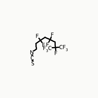 FC(F)(CCN=C=S)CC(F)(F)CC(F)(C(F)(F)F)C(F)(F)F